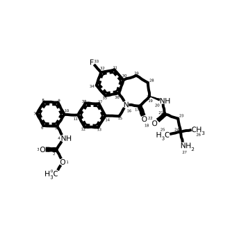 COC(=O)Nc1ccccc1-c1ccc(CN2C(=O)[C@H](NC(=O)CC(C)(C)N)CCc3cc(F)ccc32)cc1